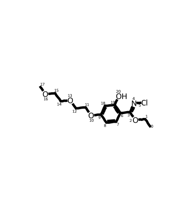 CCO/C(=N\Cl)c1ccc(OCCOCCOC)cc1O